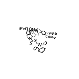 CCC1CN2CCc3cc(OC)c(OC)cc3C2CC1CC1c2cc(OC)c(OC)cc2CCN1C(=S)SCCN1C(=O)c2ccccc2C1=O